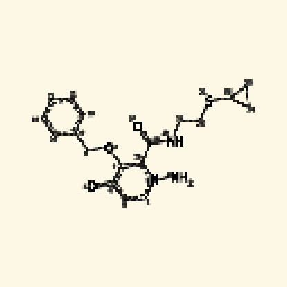 Nn1ccc(=O)c(OCc2ccccc2)c1C(=O)NCCSC1CC1